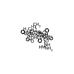 CCCC[C@H](NC(=O)[C@H](Cc1ccccc1)NC(=O)[C@H](Cc1ccccc1)NC(=O)[C@H](CCCNC(=N)N)NC(=O)[C@@H]1CCCN1)C(=O)N[C@@H](C)C(=O)N[C@@H](Cc1ccccc1)C(=O)N1CCC[C@@H]1C(=O)O